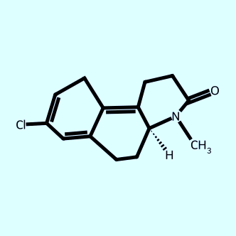 CN1C(=O)CCC2=C3CC=C(Cl)C=C3CC[C@@H]21